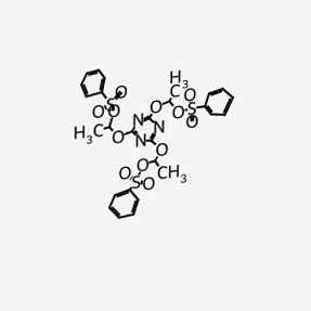 CC(Oc1nc(OC(C)OS(=O)(=O)c2ccccc2)nc(OC(C)OS(=O)(=O)c2ccccc2)n1)OS(=O)(=O)c1ccccc1